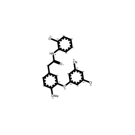 COc1ccc(CC(=O)Nc2ccccc2Cl)cc1Oc1cc(Cl)cc(C#N)c1